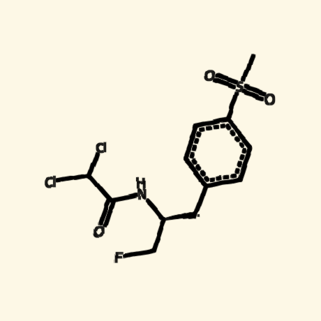 CS(=O)(=O)c1ccc([CH][C@@H](CF)NC(=O)C(Cl)Cl)cc1